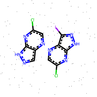 Clc1cnc2c(I)n[nH]c2n1.Clc1cnc2cn[nH]c2n1